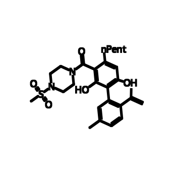 C=C(C)c1ccc(C)cc1-c1c(O)cc(CCCCC)c(C(=O)N2CCN(S(C)(=O)=O)CC2)c1O